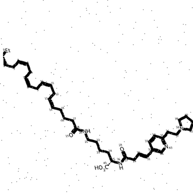 CC/C=C\C/C=C\C/C=C\C/C=C\C/C=C\CCCC(=O)NCCCC[C@H](NC(=O)C/C=C/c1ccc(CCN2CCCC2)nc1)C(=O)O